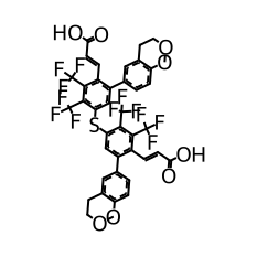 O=C(O)/C=C/c1c(-c2ccc3c(c2)CCOO3)cc(Sc2cc(-c3ccc4c(c3)CCOO4)c(/C=C/C(=O)O)c(C(F)(F)F)c2C(F)(F)F)c(C(F)(F)F)c1C(F)(F)F